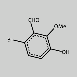 COc1c(O)ccc(Br)c1C=O